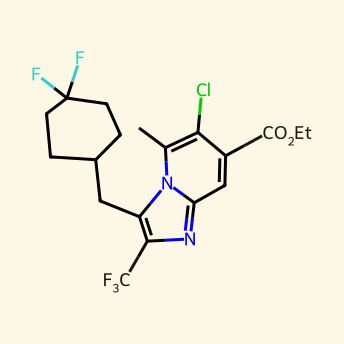 CCOC(=O)c1cc2nc(C(F)(F)F)c(CC3CCC(F)(F)CC3)n2c(C)c1Cl